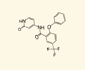 O=C(Nc1cc[nH]c(=O)c1)c1cc(C(F)(F)F)ccc1Oc1ccccc1